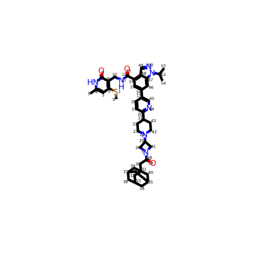 CSc1cc(C)[nH]c(=O)c1CNC(=O)c1cc(-c2ccc(C3CCN(C4CN(C(=O)CC56CC7CC(CC(C7)C5)C6)C4)CC3)nc2)cc2c1cnn2C(C)C